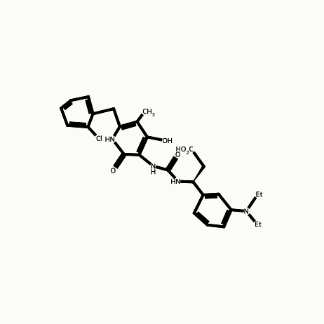 CCN(CC)c1cccc([C@H](CC(=O)O)NC(=O)Nc2c(O)c(C)c(Cc3ccccc3Cl)[nH]c2=O)c1